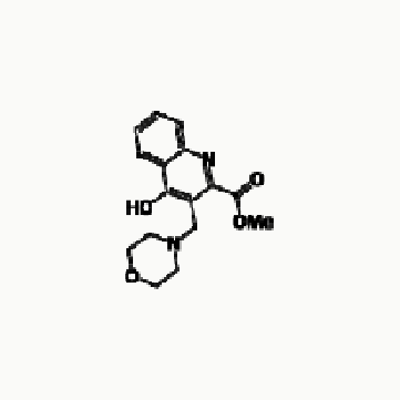 COC(=O)c1nc2ccccc2c(O)c1CN1CCOCC1